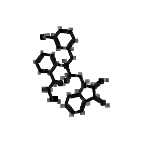 CNC(=O)c1ccccc1N(Cc1cccc(Cl)c1)C(=O)CN1C(=O)C(=O)c2ccccc21